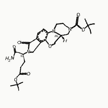 CC(C)(C)OC(=O)CC[C@@H](C(N)=O)N1Cc2c(ccc3c2OC[C@H]2CN(C(=O)OC(C)(C)C)CCN32)C1=O